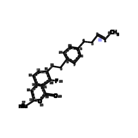 C/C=C/CCc1ccc(CCc2ccc3cc(CCCC)oc(=O)c3c2F)cc1